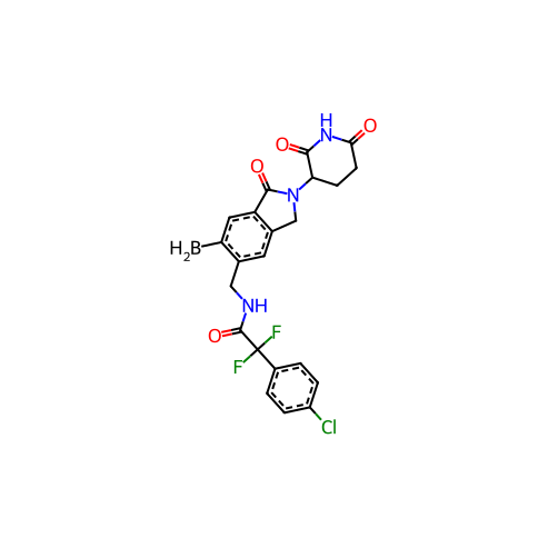 Bc1cc2c(cc1CNC(=O)C(F)(F)c1ccc(Cl)cc1)CN(C1CCC(=O)NC1=O)C2=O